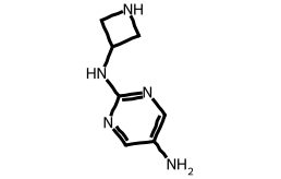 Nc1cnc(NC2CNC2)nc1